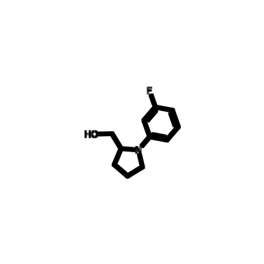 OCC1CCCN1c1cccc(F)c1